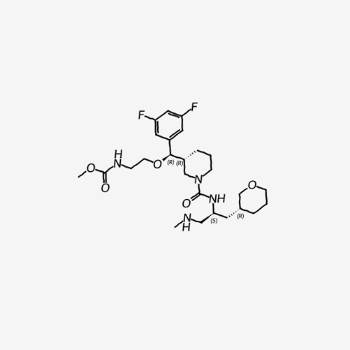 CNC[C@H](C[C@H]1CCCOC1)NC(=O)N1CCC[C@@H]([C@@H](OCCNC(=O)OC)c2cc(F)cc(F)c2)C1